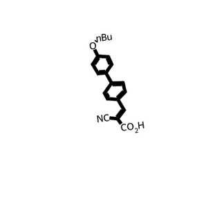 CCCCOc1ccc(-c2ccc(/C=C(\C#N)C(=O)O)cc2)cc1